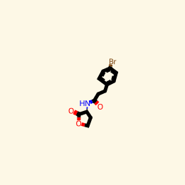 O=C(CCc1ccc(Br)cc1)N[C@@H]1CCOC1=O